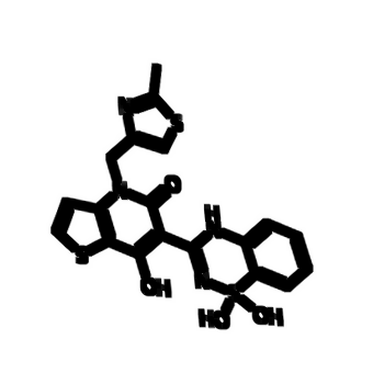 Cc1nc(Cn2c(=O)c(C3=NS(O)(O)c4ccccc4N3)c(O)c3sccc32)cs1